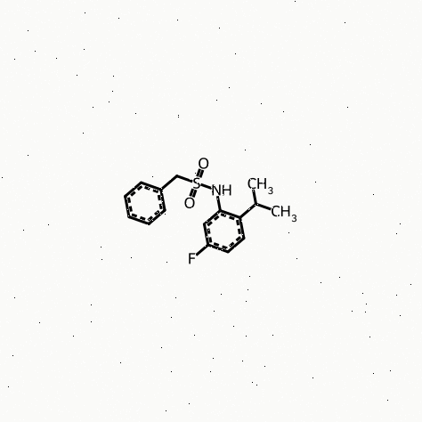 CC(C)c1ccc(F)cc1NS(=O)(=O)Cc1ccccc1